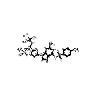 Cc1ccc(S(=O)(=O)Oc2nc(N)nc3c2ncn3[C@H]2C[C@H](O[Si](C)(C)C(C)(C)C)[C@@H](CO[Si](C)(C)C(C)(C)C)O2)cc1